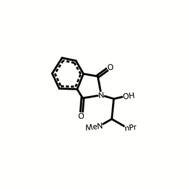 CCCC(NC)C(O)N1C(=O)c2ccccc2C1=O